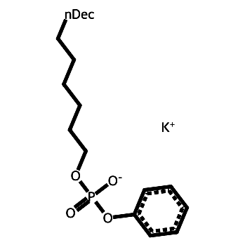 CCCCCCCCCCCCCCCCOP(=O)([O-])Oc1ccccc1.[K+]